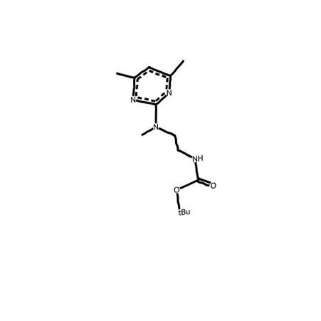 Cc1cc(C)nc(N(C)CCNC(=O)OC(C)(C)C)n1